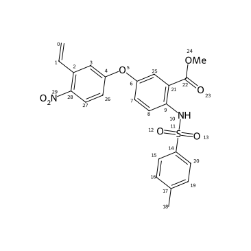 C=Cc1cc(Oc2ccc(NS(=O)(=O)c3ccc(C)cc3)c(C(=O)OC)c2)ccc1[N+](=O)[O-]